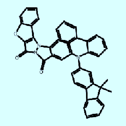 CC1(C)c2ccccc2-c2ccc(N(c3ccc4c(c3)c(=O)n3c(=O)c5oc6ccccc6c5n43)c3ccccc3-c3ccccc3)cc21